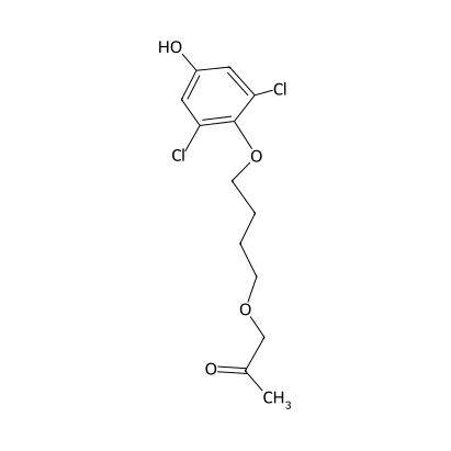 CC(=O)COCCCCOc1c(Cl)cc(O)cc1Cl